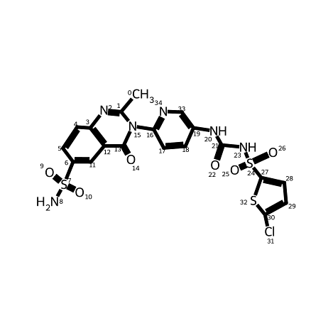 Cc1nc2ccc(S(N)(=O)=O)cc2c(=O)n1-c1ccc(NC(=O)NS(=O)(=O)c2ccc(Cl)s2)cn1